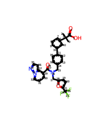 CC(C)(C(=O)O)c1cccc(-c2ccc(CN(Cc3ccc(C(F)(F)F)o3)C(=O)c3cccn4nccc34)cc2)c1